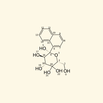 OC[C@H]1O[C@](O)(c2cccc3ccccc23)[C@H](O)[C@@H](O)C1(O)O